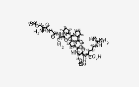 C[C@H](NC(=O)CNC(=O)[C@@H](N)COC(C)(C)C)C(=O)N1CCC[C@H]1C(=O)N1CCC[C@H]1C(=O)N1CCC[C@H]1C(=O)N[C@@H](COC(C)(C)C)C(=O)N[C@@H](CCCNC(=N)N)C(=O)O